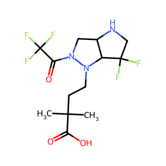 CC(C)(CCN1C2C(CN1C(=O)C(F)(F)F)NCC2(F)F)C(=O)O